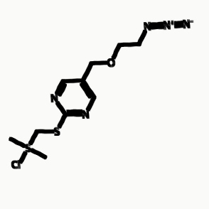 CS(C)(Cl)CSc1ncc(COCCN=[N+]=[N-])cn1